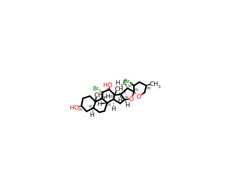 C[C@H]1CO[C@@]2(O[C@H]3C[C@H]4[C@@H]5CC[C@H]6C[C@@H](O)CC[C@]6(C)[C@H]5[C@H](Br)[C@@H](O)[C@]4(C)[C@H]3[C@@H]2C)C(Br)C1